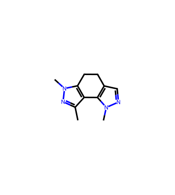 Cc1nn(C)c2c1-c1c(cnn1C)CC2